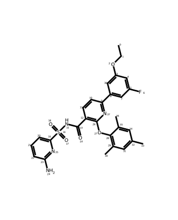 CCOc1cc(F)cc(-c2ccc(C(=O)NS(=O)(=O)c3cccc(N)n3)c(Oc3c(C)cc(C)cc3C)n2)c1